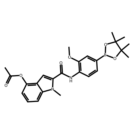 COc1cc(B2OC(C)(C)C(C)(C)O2)ccc1NC(=O)c1cc2c(OC(C)=O)cccc2n1C